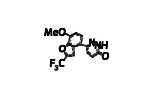 COc1ccc(-c2ccc(=O)[nH]n2)c2cc(C(F)(F)F)oc12